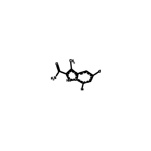 Cc1c(C(N)=O)[nH]c2c(Br)cc(Cl)cc12